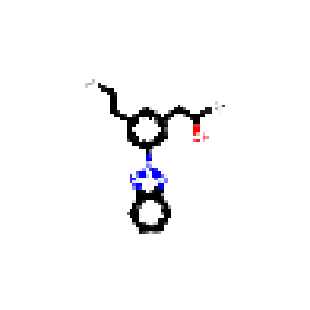 CC(C)CCc1cc(CC(O)C(C)C)cc(-n2nc3ccccc3n2)c1